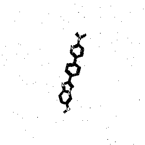 COc1ccc2nc(-c3ccc(-c4ccc(N(C)C)nc4)cc3)cn2c1